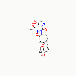 CCCC(=O)Oc1c(OC)ccnc1C(=O)N[C@H]1CCC[C@H](Cc2ccc(OC)cc2)[C@@H](OCC2CC2)[C@H](C)OC1=O